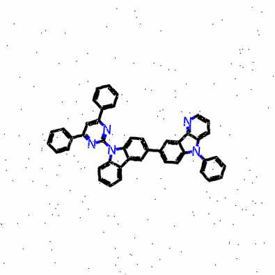 c1ccc(-c2cc(-c3ccccc3)nc(-n3c4ccccc4c4cc(-c5ccc6c(c5)c5ncccc5n6-c5ccccc5)ccc43)n2)cc1